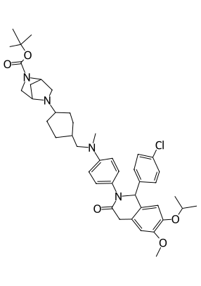 COc1cc2c(cc1OC(C)C)C(c1ccc(Cl)cc1)N(c1ccc(N(C)CC3CCC(N4CC5CC4CN5C(=O)OC(C)(C)C)CC3)cc1)C(=O)C2